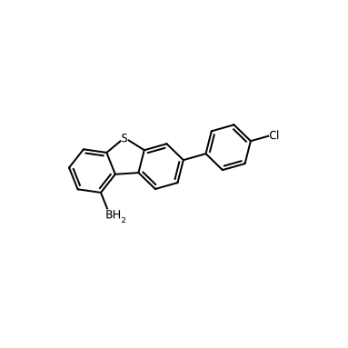 Bc1cccc2sc3cc(-c4ccc(Cl)cc4)ccc3c12